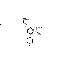 CC(C)(C)OC=O.COCCOc1cccc(C2CCNCC2)c1